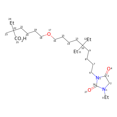 CCN1CC(=O)N(CCCCC(CC)(CC)CCCCOCCCCC(C)(CC)C(=O)O)C1=O